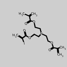 C=C(C)C(=O)OCCN(CCOC(=O)C(=C)C)CCOC(=O)C(=C)I